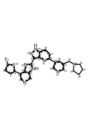 Fc1ccc(-c2cncc3[nH]c(-c4n[nH]c5ccc(-c6cncc(CN7CCCC7)c6)nc45)nc23)s1